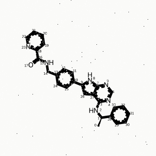 C[C@@H](Nc1ncnc2[nH]c(-c3ccc(CNC(=O)c4ccccn4)cc3)cc12)c1ccccc1